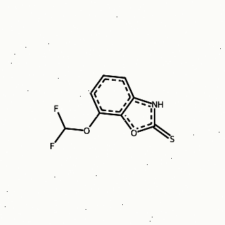 FC(F)Oc1cccc2[nH]c(=S)oc12